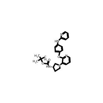 CC(C)(C)OC(=O)N[C@H]1CCN(c2cccnc2Oc2ccc(Nc3ccccn3)cc2)C1